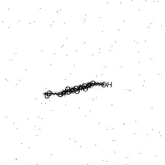 C=CC(=O)OCCCCCCOc1ccc(C(=O)Oc2ccc(OC(=O)c3ccc(OC(=O)c4ccc(OCCCCCCO)cc4)cc3)cc2)cc1